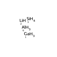 [AlH3].[GaH3].[LiH].[SiH4]